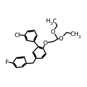 CCOC(COc1ccc(Cc2ccc(F)cc2)cc1-c1cccc(Cl)c1)OCC